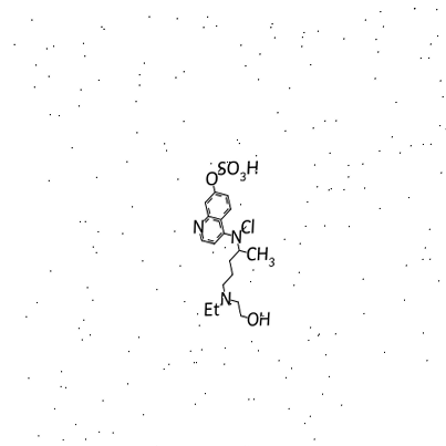 CCN(CCO)CCCC(C)N(Cl)c1ccnc2cc(OS(=O)(=O)O)ccc12